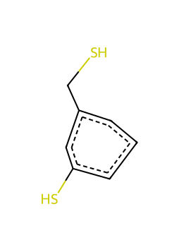 SCc1cccc(S)c1